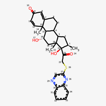 C[C@@H]1CC2C3CCC4=CC(=O)C=CC4(C)C3[C@@H](O)CC2(C)[C@@]1(O)C(=O)CSc1cnc2ccccc2n1